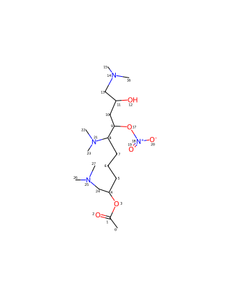 CC(=O)OC(CCCC(C(CC(O)CN(C)C)O[N+](=O)[O-])N(C)C)CN(C)C